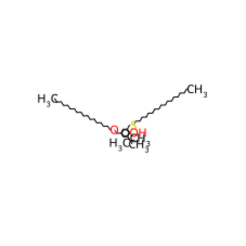 CCCCCCCCCCCCCCCCCCOCc1cc(CSCCCCCCCCCCCCCCCCCC)c(O)c(C(C)(C)C)c1